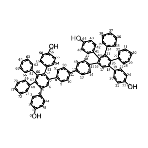 Oc1ccc(-c2cc(-c3ccc(-c4ccc(-c5cc(-c6ccc(O)cc6)c(-c6ccccc6)c(-c6ccccc6)c5-c5ccc(O)cc5)cc4)cc3)c(-c3ccc(O)cc3)c(-c3ccccc3)c2-c2ccccc2)cc1